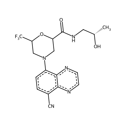 C[C@H](O)CNC(=O)C1CN(c2ccc(C#N)c3nccnc23)CC(C(F)(F)F)O1